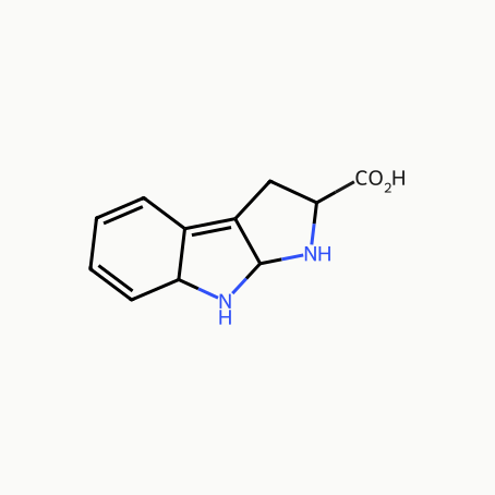 O=C(O)C1CC2=C3C=CC=CC3NC2N1